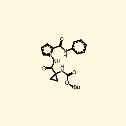 CC(C)(C)OC(=O)NC1(C(=O)Nn2cccc2C(=O)Nc2ccccc2)CC1